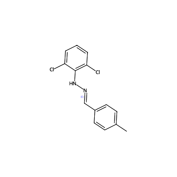 Cc1ccc(/C=N/Nc2c(Cl)cccc2Cl)cc1